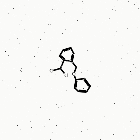 ClC(Cl)c1ccccc1COc1ccccc1